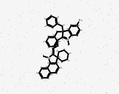 CN1/C(=C/C=C/C2=[N+](C)c3ccc(F)cc3C2(Cc2ccccc2)Cc2ccccc2)C2(CCCCC2)c2ccc3ccccc3c21